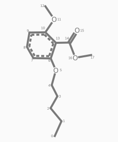 CCCCCOc1cccc(OC)c1C(=O)OC